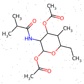 CCC1OC(OC(C)=O)C(NC(=O)C(C)C)C(OC(C)=O)C1C